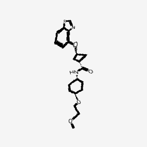 COCCO[C@H]1CC[C@H](NC(=O)[C@H]2C[C@H](Oc3cccc4scnc34)C2)CC1